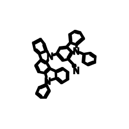 N#Cc1cc(-n2c3ccccc3c3ccc4c(c5ccccc5n4-c4ccccc4)c32)cc2c3ccccc3n(-c3ccccc3)c12